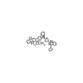 CC1(C)c2cc3c(cc2-c2cc4c5ccccc5n(-c5ccc(-c6nc(-c7ccccc7)c7ccccc7n6)cc5)c4cc21)oc1ccccc13